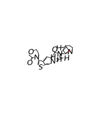 C[C@H]1[C@H](NC(=O)c2cc3c(N4CCOCC4=O)csc3cn2)C2CCN1CC2